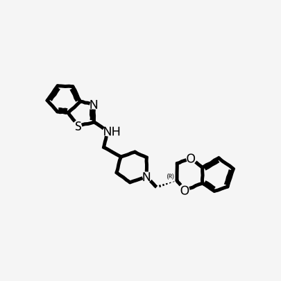 c1ccc2c(c1)OC[C@@H](CN1CCC(CNc3nc4ccccc4s3)CC1)O2